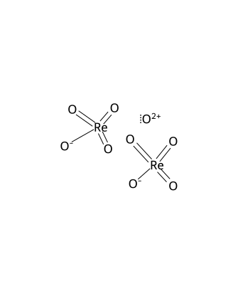 [O+2].[O]=[Re](=[O])(=[O])[O-].[O]=[Re](=[O])(=[O])[O-]